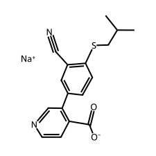 CC(C)CSc1ccc(-c2cnccc2C(=O)[O-])cc1C#N.[Na+]